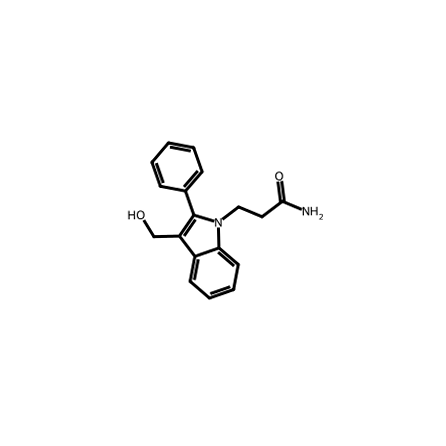 NC(=O)CCn1c(-c2ccccc2)c(CO)c2ccccc21